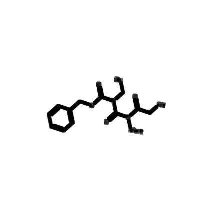 CCCCCN(C(=O)CO)C(=O)N(CC(C)CC)C(=O)OCc1ccccc1